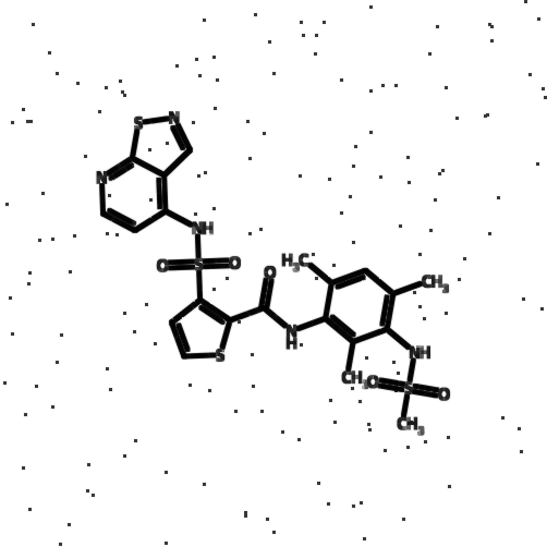 Cc1cc(C)c(NS(C)(=O)=O)c(C)c1NC(=O)c1sccc1S(=O)(=O)Nc1ccnc2sncc12